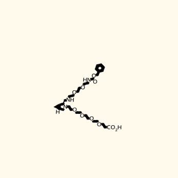 O=C(O)CCOCCOCCOCCOCCN1C[C@@H]2CC2[C@H]1CNCCOCCOCCNC(=O)OCc1ccccc1